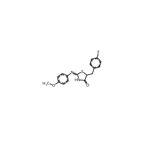 COc1ccc(/N=C2\NC(=O)C(Cc3ccc(F)cc3)S2)cc1